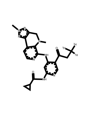 [2H]C([2H])([2H])CC(=O)c1cnc(NC(=O)C2CC2)cc1Nc1nccc2c1N(C)Cc1nn(C)nc1-2